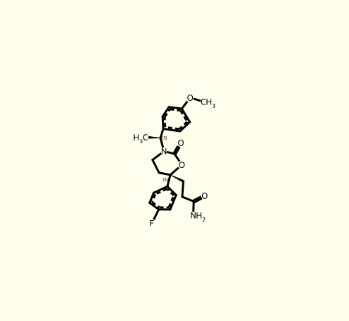 COc1ccc([C@H](C)N2CC[C@@](CCC(N)=O)(c3ccc(F)cc3)OC2=O)cc1